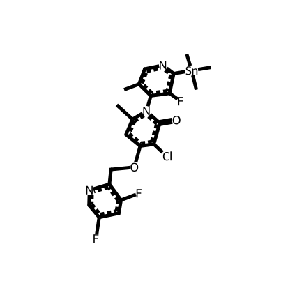 Cc1cn[c]([Sn]([CH3])([CH3])[CH3])c(F)c1-n1c(C)cc(OCc2ncc(F)cc2F)c(Cl)c1=O